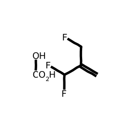 C=C(CF)C(F)F.O=C(O)O